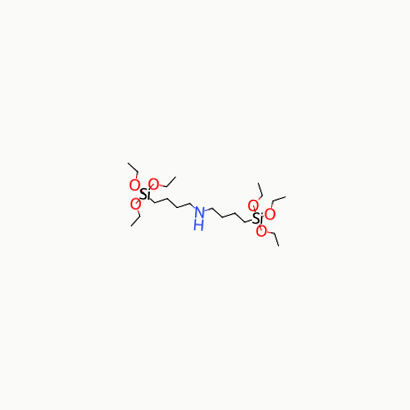 CCO[Si](CCCCNCCCC[Si](OCC)(OCC)OCC)(OCC)OCC